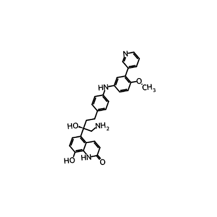 COc1ccc(Nc2ccc(CC[C@](O)(CN)c3ccc(O)c4[nH]c(=O)ccc34)cc2)cc1-c1cccnc1